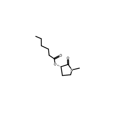 CCCCCC(=O)O[C@H]1CCN(C)C1=O